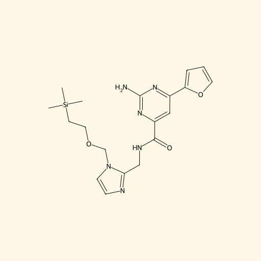 C[Si](C)(C)CCOCn1ccnc1CNC(=O)c1cc(-c2ccco2)nc(N)n1